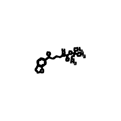 CC(C)(C)OC(=O)NCCCC(=O)c1ccc2c(c1)OCC2